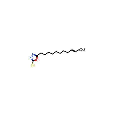 CCCCCCCCC=CCCCCCCCCc1nnc(S)o1